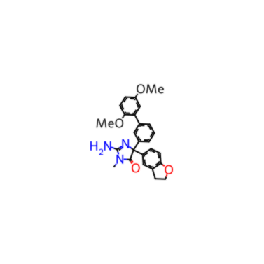 COc1ccc(OC)c(-c2cccc(C3(c4ccc5c(c4)CCO5)N=C(N)N(C)C3=O)c2)c1